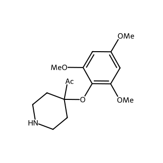 COc1cc(OC)c(OC2(C(C)=O)CCNCC2)c(OC)c1